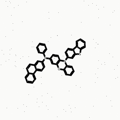 c1ccc(N(c2ccc3c(c2)Oc2ccccc2N3c2ccc3c(c2)sc2ccccc23)c2ccc3c(ccc4ccccc43)c2)cc1